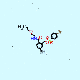 Bc1ccc(C(=O)NCCOCCC)c(COS(=O)(=O)c2ccc(Br)cc2)c1